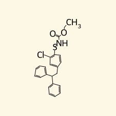 CCOC(=O)NSc1ccc(CC(c2ccccc2)c2ccccc2)cc1Cl